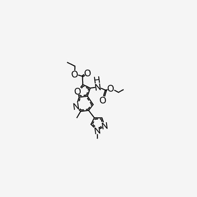 CCOC(=O)Nc1c(C(=O)OCC)oc2nc(C)c(-c3cnn(C)c3)cc12